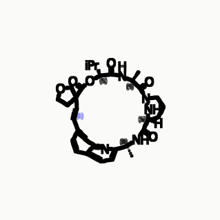 CC(C)[C@@H]1OC(=O)C2(/C=C/c3ccc4ccc(nc4c3)[C@@H](C)NC(=O)[C@@H]3CCCN(N3)C(=O)[C@H](C)NC1=O)CCOC2